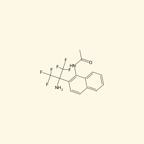 CC(=O)Nc1c(C(N)(C(F)(F)F)C(F)(F)F)ccc2ccccc12